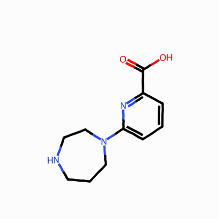 O=C(O)c1cccc(N2CCCNCC2)n1